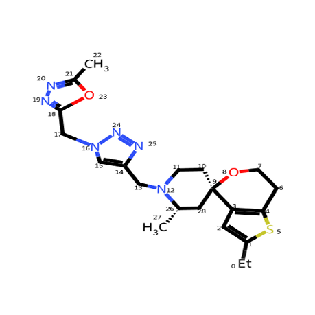 CCc1cc2c(s1)CCO[C@@]21CCN(Cc2cn(Cc3nnc(C)o3)nn2)[C@@H](C)C1